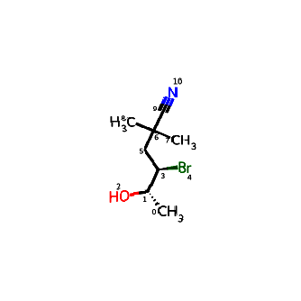 C[C@H](O)[C@H](Br)CC(C)(C)C#N